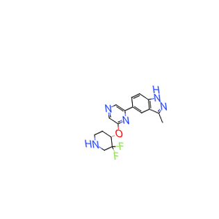 Cc1n[nH]c2ccc(-c3cncc(O[C@H]4CCNCC4(F)F)n3)cc12